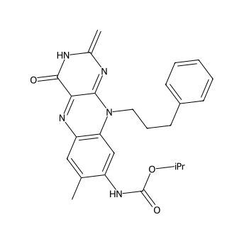 C=c1nc2c(c(=O)[nH]1)=Nc1cc(C)c(NC(=O)OC(C)C)cc1N2CCCc1ccccc1